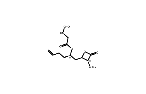 C=CCC[C@H](CC1OC(=O)[C@H]1CCCCCC)OC(=O)CNC=O